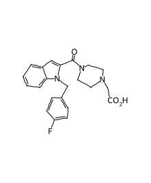 O=C(O)CN1CCN(C(=O)c2cc3ccccc3n2Cc2ccc(F)cc2)CC1